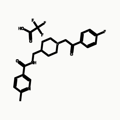 Cc1ccc(C(=O)NCC2CCN(CC(=O)c3ccc(F)cc3)CC2)cn1.O=C(O)C(F)(F)F